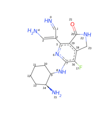 N=C/C(=C\N)c1nc(NC2CCCC[C@@H]2N)c(F)c2c1C(=O)NC2